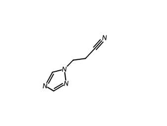 N#CCCn1cncn1